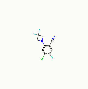 N#Cc1cc(F)c(Cl)cc1N1CC(F)(F)C1